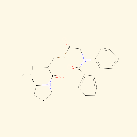 CC(CSC(=O)[C@H](C)N(C(=O)c1ccccc1)c1ccccc1)C(=O)N1CCC[C@H]1C(=O)O